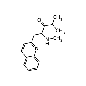 CNC(Cc1ccc2ccccc2n1)C(=O)C(C)C